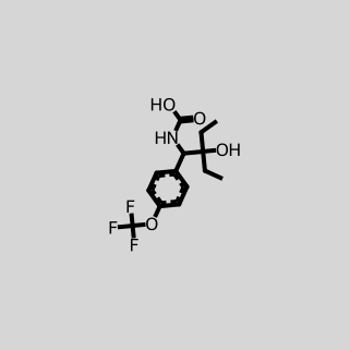 CCC(O)(CC)C(NC(=O)O)c1ccc(OC(F)(F)F)cc1